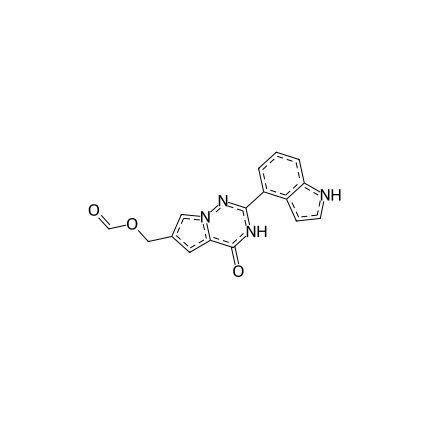 O=COCc1cc2c(=O)[nH]c(-c3cccc4[nH]ccc34)nn2c1